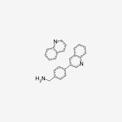 NCc1ccc(-c2cnc3ccccc3c2)cc1.c1ccc2ncccc2c1